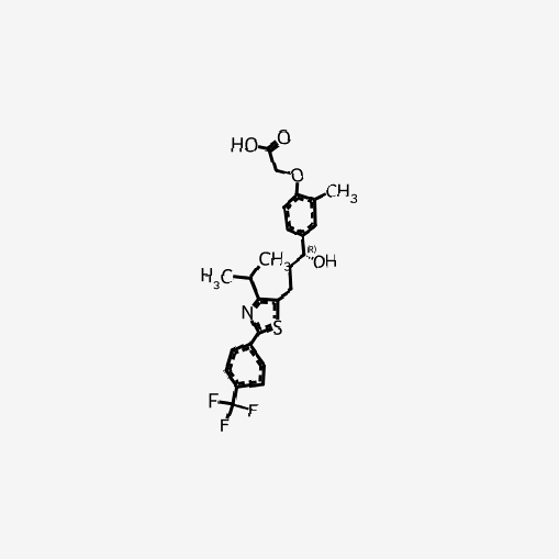 Cc1cc([C@H](O)CCc2sc(-c3ccc(C(F)(F)F)cc3)nc2C(C)C)ccc1OCC(=O)O